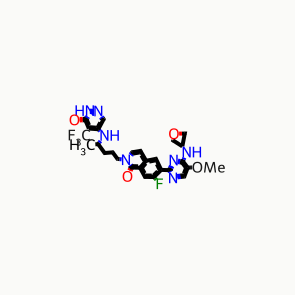 COc1cnc(-c2cc3ccn(CCCC(C)Nc4cn[nH]c(=O)c4C(F)(F)F)c(=O)c3cc2F)nc1NC1COC1